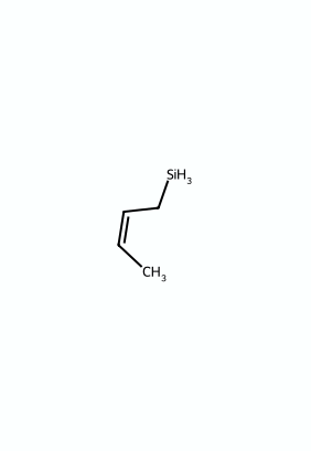 C/C=C\C[SiH3]